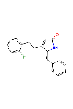 O=C1C=C(CCc2ccccc2F)[C@H](Cc2ccccc2)N1